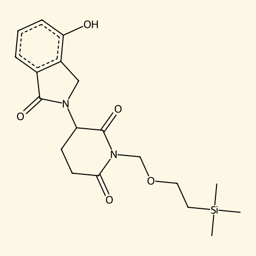 C[Si](C)(C)CCOCN1C(=O)CCC(N2Cc3c(O)cccc3C2=O)C1=O